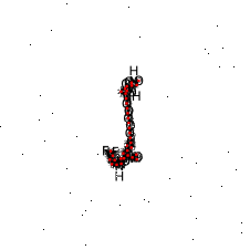 O=C1CCC(N2C(=O)c3cccc(NCCOCCOCCOCCOCCOCCCN4CCN(c5ccc(C(=O)Nc6n[nH]c7ccc(Cc8cc(F)cc(F)c8)cc67)c(NC6CCOCC6)c5)CC4)c3C2=O)C(=O)N1